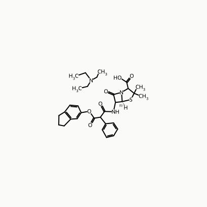 CC1(C)S[C@H]2C(NC(=O)C(C(=O)Oc3ccc4c(c3)CCC4)c3ccccc3)C(=O)N2C1C(=O)O.CCN(CC)CC